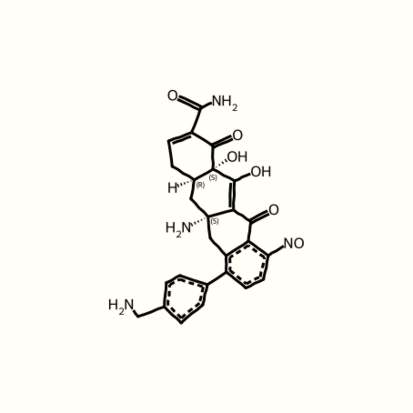 NCc1ccc(-c2ccc(N=O)c3c2C[C@@]2(N)C[C@H]4CC=C(C(N)=O)C(=O)[C@@]4(O)C(O)=C2C3=O)cc1